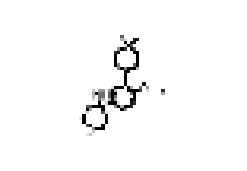 CC1(C)CC=C(c2cc(C3(N)CCOCC3)ccc2N)CC1